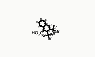 O=C(O)c1c(C(Br)(Br)Br)c(C(Br)(Br)Br)cc2ccccc12